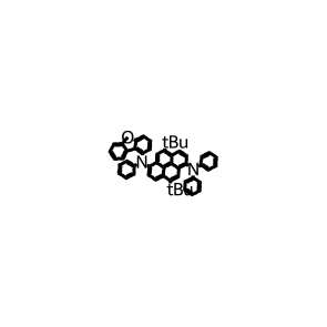 CC(C)(C)c1cc2c(N(c3ccccc3)c3cccc4oc5ccccc5c34)ccc3c(C(C)(C)C)cc4c(N(c5ccccc5)c5ccccc5)ccc1c4c23